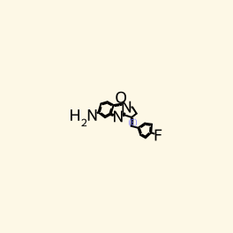 Nc1ccc2c(=O)n3c(nc2c1)/C(=C/c1ccc(F)cc1)CC3